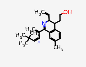 C=CC1N=C(C(=C)/C=C\C(C)(C)C)c2cc(C)ccc2C1CCO